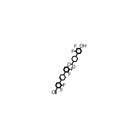 O=C(Oc1ccc(C2CC=C(c3ccc(C4CO4)c(F)c3F)CC2)c(F)c1F)C1CCC(c2ccc(O)c(F)c2F)CC1